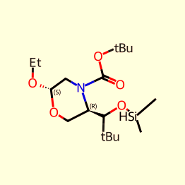 CCO[C@@H]1CN(C(=O)OC(C)(C)C)[C@@H](C(O[SiH](C)C)C(C)(C)C)CO1